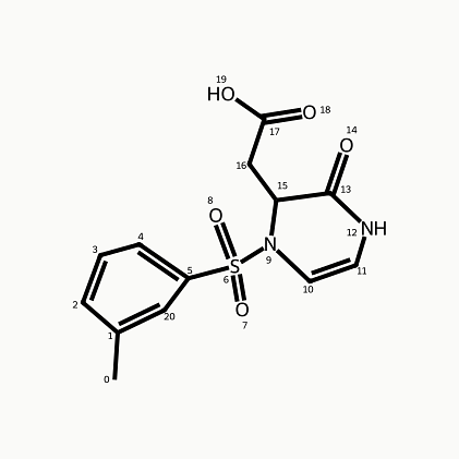 Cc1cccc(S(=O)(=O)N2C=CNC(=O)C2CC(=O)O)c1